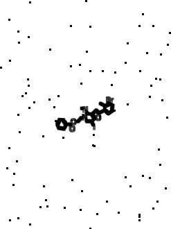 C/N=c1/c2cc(-c3cccc(Br)c3C)oc2c(I)cn1CCOC(=O)c1ccccc1